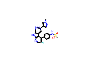 C=C(/C=c1\c(=C/N)[nH]c2ncc(F)c(-c3ccc(NS(C)(=O)=O)cc3)c12)c1cnn(C)c1